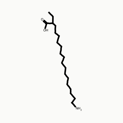 CCC(CCCCCCCCCCCCCCCCN)C(=O)O